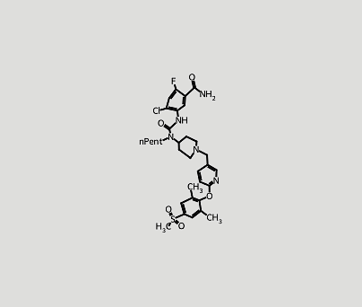 CCCCCN(C(=O)Nc1cc(C(N)=O)c(F)cc1Cl)C1CCN(Cc2ccc(Oc3c(C)cc(S(C)(=O)=O)cc3C)nc2)CC1